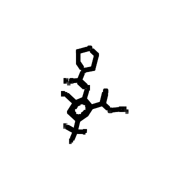 COC(=O)c1cc(C(F)(F)F)cc(Br)c1N=C(C)N1CCOCC1